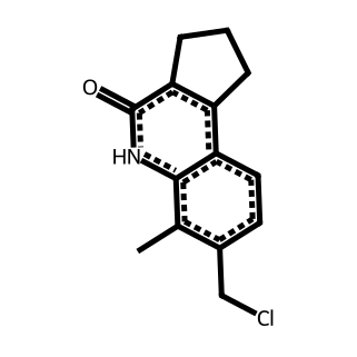 Cc1c(CCl)ccc2c3c(c(=O)[nH]c12)CCC3